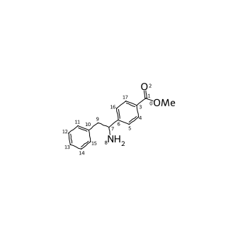 COC(=O)c1ccc(C(N)Cc2ccccc2)cc1